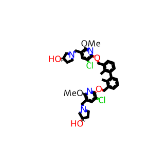 COc1nc(OCc2cccc(-c3cccc(COc4nc(OC)c(CN5CC[C@H](O)C5)cc4Cl)c3C)c2C)c(Cl)cc1CN1CC[C@H](O)C1